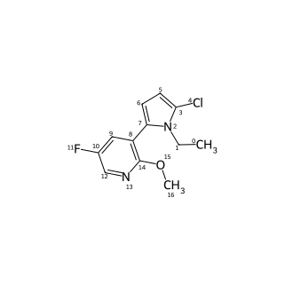 CCn1c(Cl)ccc1-c1cc(F)cnc1OC